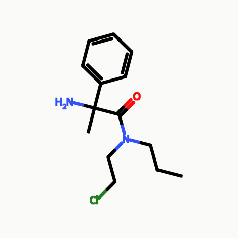 CCCN(CCCl)C(=O)C(C)(N)c1ccccc1